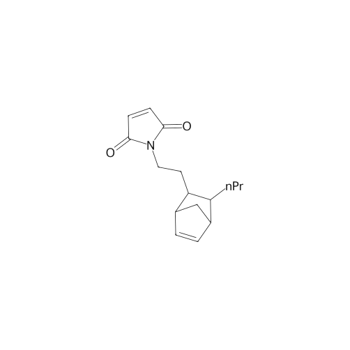 CCCC1C2C=CC(C2)C1CCN1C(=O)C=CC1=O